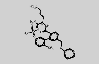 Cc1ccccc1-c1cc(COc2cccnc2)ccc1C(=O)N[C@@H](CCSC(=O)O)C(N)=NS(C)(=O)=O